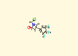 O=C1C[C@H](c2cc(F)c(F)c(F)c2)CN1CCl